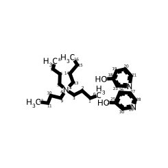 CCCC[N+](CCCC)(CCCC)CCCC.Oc1cccnc1.Oc1cccnc1